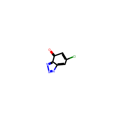 O=C1C=C(Cl)C=C2N=NN=C12